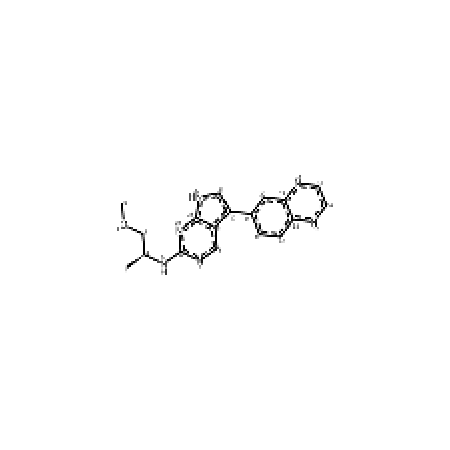 COC[C@H](C)Nc1ncc2c(-c3ccc4nccnc4c3)c[nH]c2n1